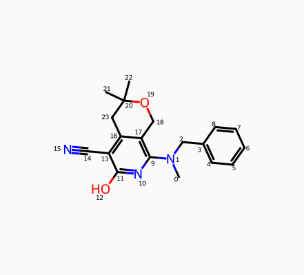 CN(Cc1ccccc1)c1nc(O)c(C#N)c2c1COC(C)(C)C2